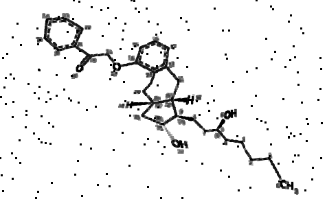 CCCCC[C@H](O)CC[C@@H]1[C@H]2Cc3cccc(OCC(=O)c4ccccc4)c3C[C@H]2C[C@H]1O